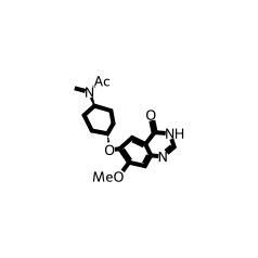 COc1cc2nc[nH]c(=O)c2cc1O[C@H]1CC[C@H](N(C)C(C)=O)CC1